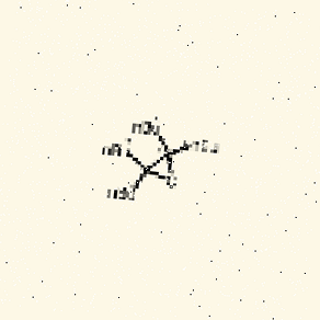 CCCCC1(CCCC)OC1(CCCC)CCCC